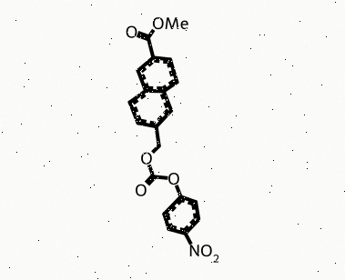 COC(=O)c1ccc2cc(COC(=O)Oc3ccc([N+](=O)[O-])cc3)ccc2c1